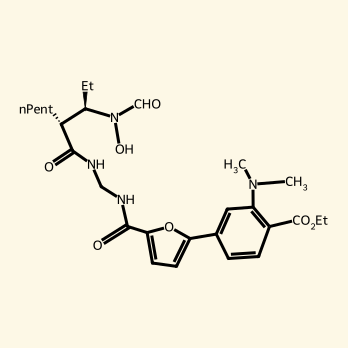 CCCCC[C@@H](C(=O)NCNC(=O)c1ccc(-c2ccc(C(=O)OCC)c(N(C)C)c2)o1)[C@@H](CC)N(O)C=O